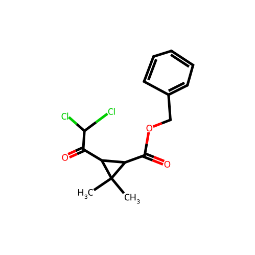 CC1(C)C(C(=O)OCc2ccccc2)C1C(=O)C(Cl)Cl